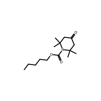 CCCCCOC(=O)N1C(C)(C)CC(=O)CC1(C)C